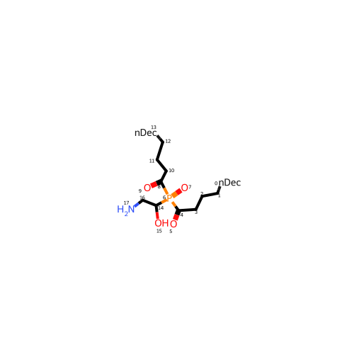 CCCCCCCCCCCCCC(=O)P(=O)(C(=O)CCCCCCCCCCCCC)C(O)CN